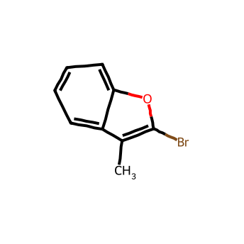 Cc1c(Br)oc2ccccc12